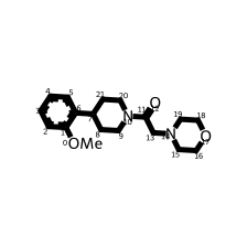 COc1ccccc1C1CCN(C(=O)CN2CCOCC2)CC1